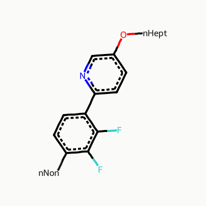 CCCCCCCCCc1ccc(-c2ccc(OCCCCCCC)cn2)c(F)c1F